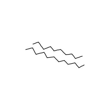 CCCCCCCCCC.CCCCCCCCCCCC